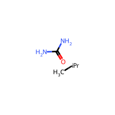 CC(C)C.NC(N)=O